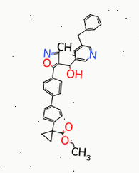 CCOC(=O)C1(c2ccc(-c3ccc(-c4onc(C)c4C(O)c4cncc(Cc5ccccc5)c4)cc3)cc2)CC1